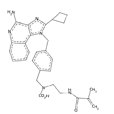 C=C(C)C(=O)NCCN(Cc1ccc(Cn2c(C3CCC3)nc3c(N)nc4ccccc4c32)cc1)C(=O)O